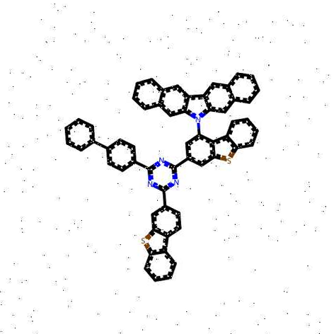 c1ccc(-c2ccc(-c3nc(-c4ccc5c(c4)sc4ccccc45)nc(-c4cc(-n5c6cc7ccccc7cc6c6cc7ccccc7cc65)c5c(c4)sc4ccccc45)n3)cc2)cc1